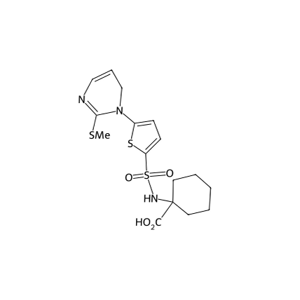 CSC1=NC=CCN1c1ccc(S(=O)(=O)NC2(C(=O)O)CCCCC2)s1